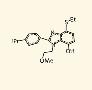 CCSc1ccc(O)c2c1nc(-c1ccc(C(C)C)cc1)n2CCOC